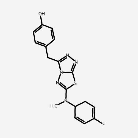 CN(c1nn2c(Cc3ccc(O)cc3)nnc2s1)C1C=CC(F)=CC1